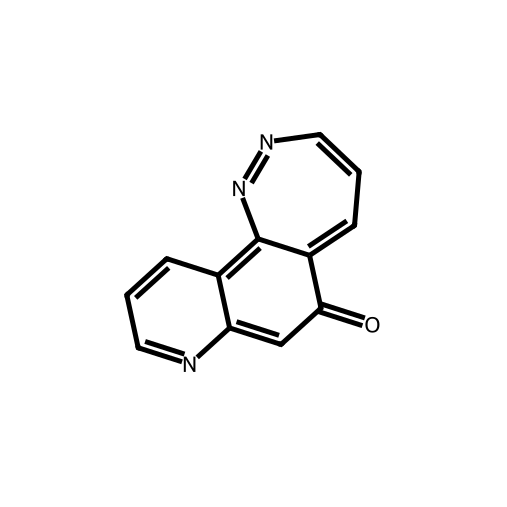 O=c1cc2ncccc2c2nncccc1-2